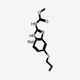 CCCSc1ccc2[nH]c(NC(=O)OC)nc2c1.[NaH]